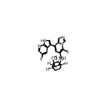 O=C(O)[C@H]1[C@H]2CC[C@H](CC2)[C@@H]1Nc1cc(-c2c[nH]c3ncc(F)cc23)c2cncn2c1F